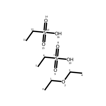 CCOCC.CCS(=O)(=O)O.CCS(=O)(=O)O